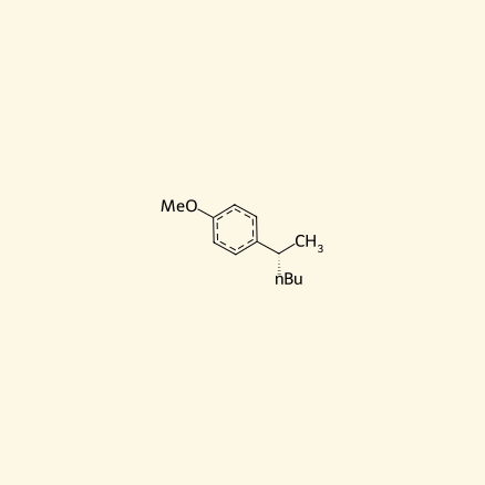 CCCC[C@@H](C)c1ccc(OC)cc1